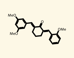 COc1cc(/C=C2\CCCC(=Cc3ccccc3OC)C2=O)cc(OC)c1